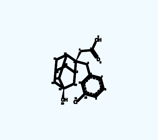 O=C(O)C[C@]1(Cc2cccc(Cl)c2)C2CC3CC1C[C@](O)(C3)C2